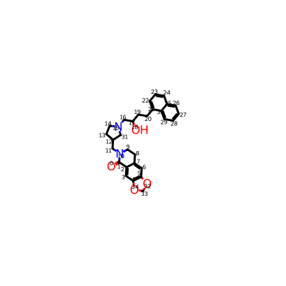 O=C1c2cc3c(cc2CCN1CC1CCN(CC(O)CCc2cccc4ccccc24)C1)OCO3